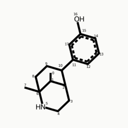 CC1C2CCNC1(C)CCC2c1cccc(O)c1